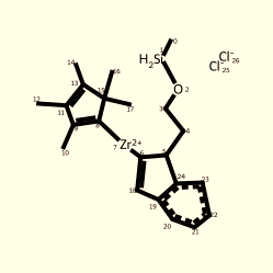 C[SiH2]OCCC1[C]([Zr+2][C]2=C(C)C(C)=C(C)C2(C)C)=Cc2ccccc21.[Cl-].[Cl-]